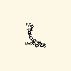 CO[C@H]1CN(c2cccc3c2n(C)c(=O)n3C2CCC(=O)NC2=O)C[C@H]1N(C)C[C@H]1CC[C@H](n2cc3cc(NC(=O)c4cccc(C(F)(F)F)n4)ccc3n2)CC1